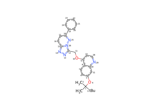 CC(C)(C)C(C)(C)Oc1ccc2c(OCc3nnc4ccc(-c5ccccc5)nn34)ccnc2c1